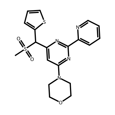 CS(=O)(=O)C(c1cc(N2CCOCC2)nc(-c2ccccn2)n1)c1cccs1